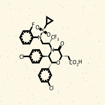 O=C(O)C[C@@H]1O[C@H](c2cccc(Cl)c2)[C@@H](c2ccc(Cl)cc2)N([C@H](CN(c2ccccc2F)S(=O)(=O)C2CC2)C(F)(F)F)C1=O